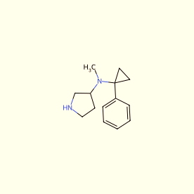 CN(C1CCNC1)C1(c2ccccc2)CC1